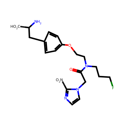 NC(Cc1ccc(OCCN(CCCF)C(=O)Cn2ccnc2[N+](=O)[O-])cc1)C(=O)O